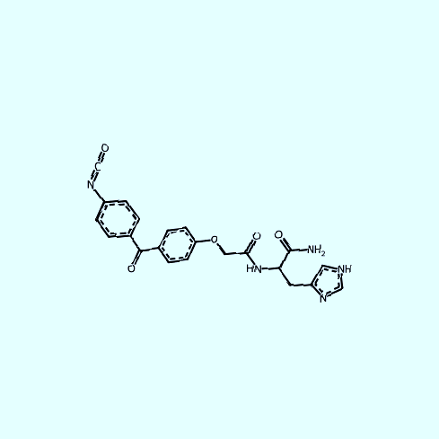 NC(=O)C(Cc1c[nH]cn1)NC(=O)COc1ccc(C(=O)c2ccc(N=C=O)cc2)cc1